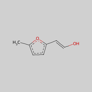 Cc1ccc(/C=C/O)o1